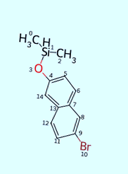 C[SiH](C)Oc1ccc2cc(Br)ccc2c1